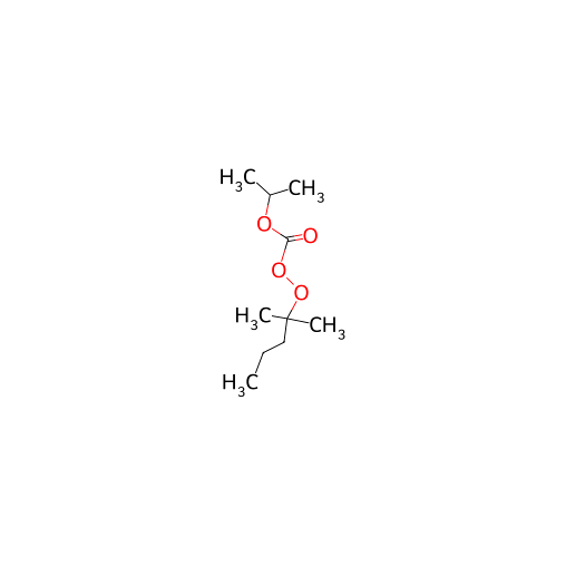 CCCC(C)(C)OOC(=O)OC(C)C